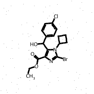 CCOC(=O)c1nc(Br)n(C2CCC2)c1C(O)c1ccc(Cl)cc1